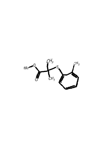 Cc1ccccc1SC(C)(C)C(=O)OC(C)(C)C